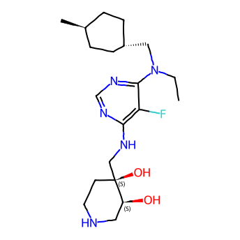 CCN(C[C@H]1CC[C@H](C)CC1)c1ncnc(NC[C@@]2(O)CCNC[C@@H]2O)c1F